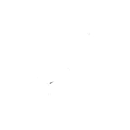 CC(=O)N(C)[C@@H]1CCN(c2ccc(N)cc2)C1